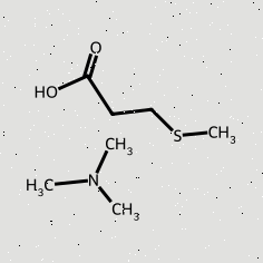 CN(C)C.CSCCC(=O)O